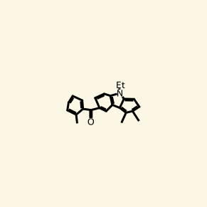 CCn1c2ccc(C(=O)c3ccccc3C)cc2c2c(C)c(C)ccc21